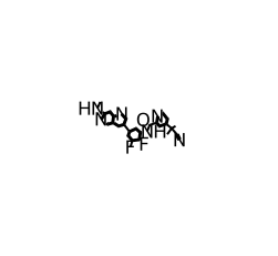 CNc1cc2ncc(-c3cc(F)c(F)c(NC(=O)c4cc(C(C)(C)C#N)ccn4)c3)cc2cn1